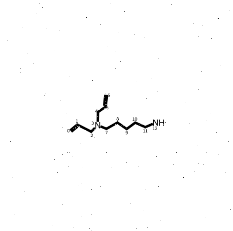 C=CCN(CC=C)CCCCC[NH]